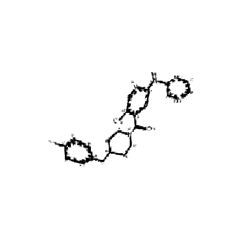 O=C(c1cc(Nc2cnccn2)ncc1Cl)N1CCC(Cc2ccc(F)cc2)CC1